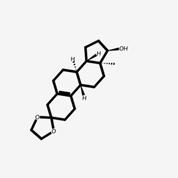 C[C@]12CC[C@@H]3C4=C(CC[C@H]3[C@@H]1CC[C@H]2O)CC1(CC4)OCCO1